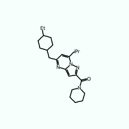 CCC1CCC(Cc2cc(C(C)C)n3nc(C(=O)N4CCCCC4)cc3n2)CC1